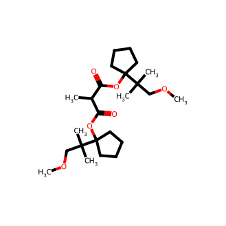 COCC(C)(C)C1(OC(=O)C(C)C(=O)OC2(C(C)(C)COC)CCCC2)CCCC1